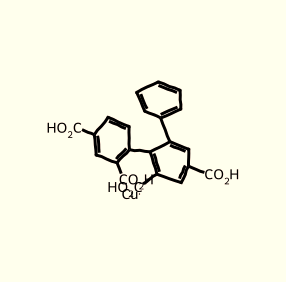 O=C(O)c1ccc(-c2c(C(=O)O)cc(C(=O)O)cc2-c2ccccc2)c(C(=O)O)c1.[Cu]